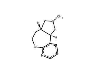 CN1C[C@H]2CCOc3ncccc3[C@@H]2C1